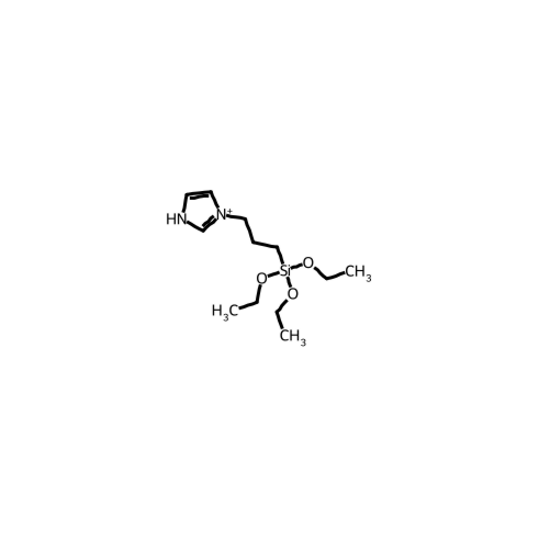 CCO[Si](CCC[n+]1cc[nH]c1)(OCC)OCC